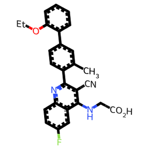 CCOc1ccccc1-c1ccc(-c2nc3ccc(F)cc3c(NCC(=O)O)c2C#N)c(C)c1